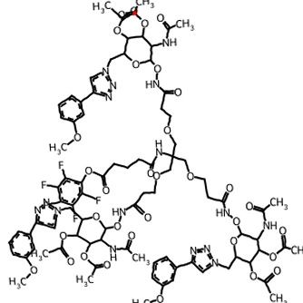 COc1cccc(-c2cn(CC3OC(ONC(=O)CCOCC(COCCC(=O)NOC4OC(Cn5cc(-c6cccc(OC)c6)nn5)C(OC(C)=O)C(OC(C)=O)C4NC(C)=O)(COCCC(=O)NOC4OC(Cn5cc(-c6cccc(OC)c6)nn5)C(OC(C)=O)C(OC(C)=O)C4NC(C)=O)NC(=O)CCCC(=O)Oc4c(F)c(F)c(F)c(F)c4F)C(NC(C)=O)C(OC(C)=O)C3OC(C)=O)nn2)c1